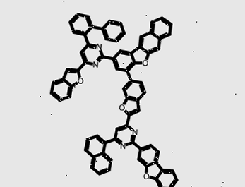 c1ccc(-c2ccccc2-c2cc(-c3cc4ccccc4o3)nc(-c3cc(-c4ccc5cc(-c6cc(-c7cccc8ccccc78)nc(-c7ccc8c(c7)oc7ccccc78)n6)oc5c4)c4oc5cc6ccccc6cc5c4c3)n2)cc1